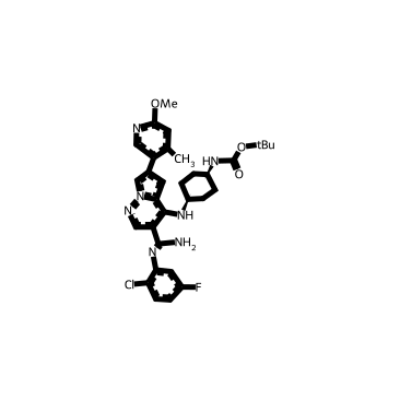 COc1cc(C)c(-c2cc3c(N[C@H]4CC[C@@H](NC(=O)OC(C)(C)C)CC4)c(C(N)=Nc4cc(F)ccc4Cl)cnn3c2)cn1